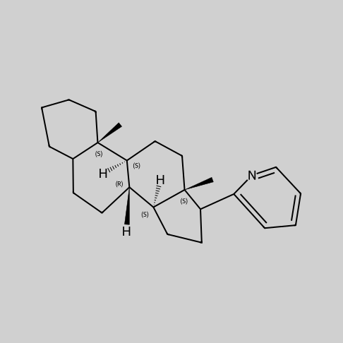 C[C@]12CCCCC1CC[C@@H]1[C@@H]2CC[C@]2(C)C(c3ccccn3)CC[C@@H]12